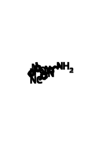 Cc1cc(Oc2cc(C#N)ccc2-c2ncc(CCN)cn2)cc(N2C3CCC2CC3)n1